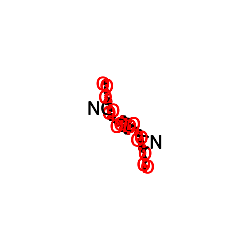 C=CC(=O)OCCCCOc1ccc(/C=C(\C#N)C(=O)Oc2ccc(/C=C/C(=O)Oc3ccc4ccccc4c3-c3c(OC(=O)/C=C/c4ccc(OC(=O)/C(C#N)=C/c5ccc(OCCCCOC(=O)C=C)cc5)cc4)ccc4ccccc34)cc2)cc1